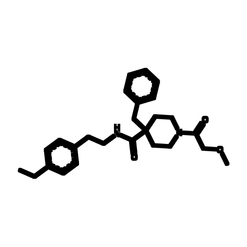 CCc1ccc(CCNC(=O)C2(Cc3ccccc3)CCN(C(=O)COC)CC2)cc1